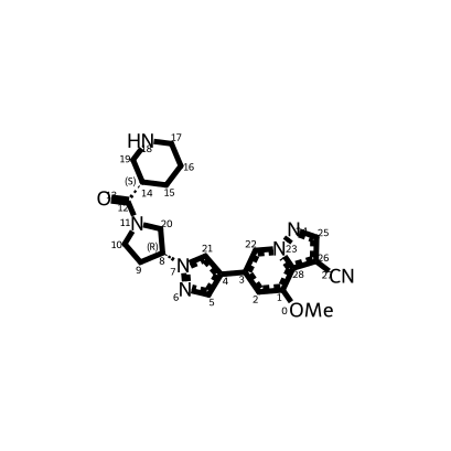 COc1cc(-c2cnn([C@@H]3CCN(C(=O)[C@H]4CCCNC4)C3)c2)cn2ncc(C#N)c12